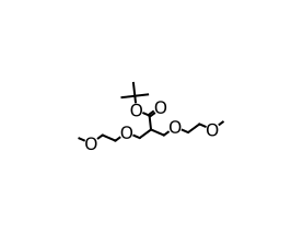 COCCOCC(COCCOC)C(=O)OC(C)(C)C